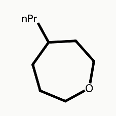 CCCC1CCCOCC1